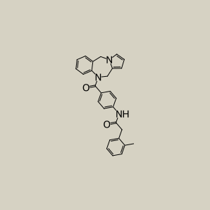 Cc1ccccc1CC(=O)Nc1ccc(C(=O)N2Cc3cccn3Cc3ccccc32)cc1